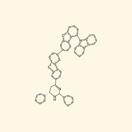 c1ccc(C2N=C(c3ccc4c(c3)sc3ccc(-c5ccc6c(c5)oc5cccc(-n7c8ccccc8c8ccccc87)c56)cc34)C[C@@H](c3ccccc3)N2)cc1